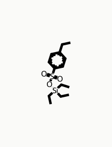 CCc1ccc(S(=O)(=O)O[Si](CC)(CC)CC)cc1